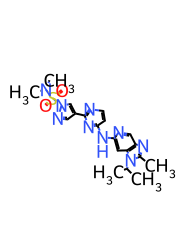 Cc1nc2cnc(Nc3ccnc(-c4cnn(S(=O)(=O)N(C)C)c4)n3)cc2n1C(C)C